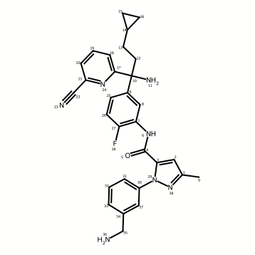 Cc1cc(C(=O)Nc2cc(C(N)(CCC3CC3)c3cccc(C#N)n3)ccc2F)n(-c2cccc(CN)c2)n1